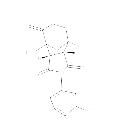 CC12CCC(=O)C(C)(O1)[C@H]1C(=O)N(c3cccc(C(F)(F)F)c3)C(=O)[C@H]12